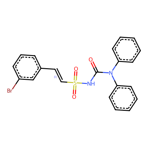 O=C(NS(=O)(=O)/C=C/c1cccc(Br)c1)N(c1ccccc1)c1ccccc1